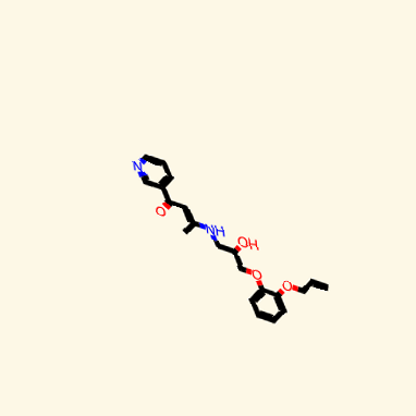 C=CCOc1ccccc1OCC(O)CN/C(C)=C/C(=O)c1cccnc1